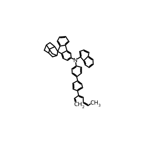 C=C/C(=C\C=C/C)c1ccc(-c2ccc(N(c3ccc4c(c3)-c3ccccc3C43C4CC5CC(C4)CC3C5)c3cccc4ccccc34)cc2)cc1